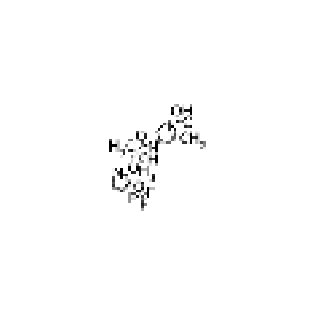 C[C@H]1C[C@@H](NC(=O)C(C)(C)COc2ncccc2OC(F)(F)F)CCN1C(=O)O